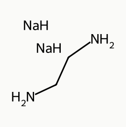 NCCN.[NaH].[NaH]